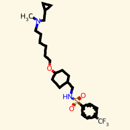 CN(CCCCCCOC1CCC(CNS(=O)(=O)c2ccc(C(F)(F)F)cc2)CC1)CC1CC1